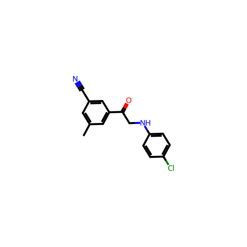 Cc1cc(C#N)cc(C(=O)CNc2ccc(Cl)cc2)c1